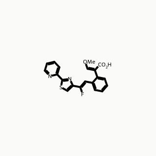 COC=C(C(=O)O)c1ccccc1C=C(F)c1csc(-c2ccccn2)n1